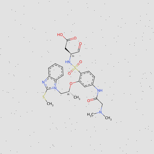 CSc1nc2ccccc2n1C[C@@H](C)Oc1cc(NC(=O)CN(C)C)ccc1S(=O)(=O)N[C@H](C=O)CC(=O)O